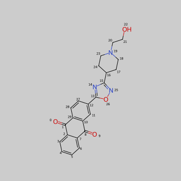 O=C1c2ccccc2C(=O)c2cc(-c3nc(C4CCN(CCO)CC4)no3)ccc21